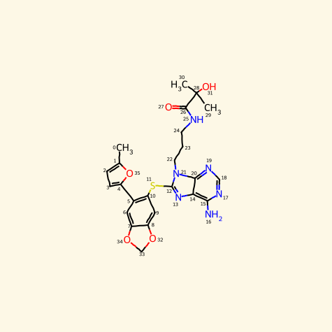 Cc1ccc(-c2cc3c(cc2Sc2nc4c(N)ncnc4n2CCCNC(=O)C(C)(C)O)OCO3)o1